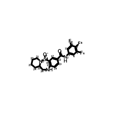 O=C(Nc1cc(F)c(F)c(F)c1)c1ccc2c(c1)[S+]([O-])N1CCCCC1CN2